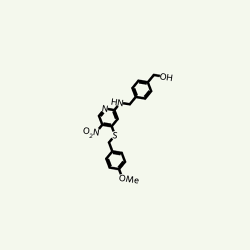 COc1ccc(CSc2cc(NCc3ccc(CO)cc3)ncc2[N+](=O)[O-])cc1